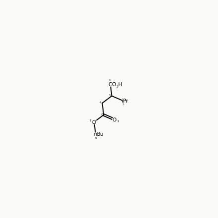 CCCCOC(=O)CC(C(=O)O)C(C)C